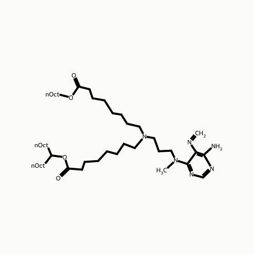 C=Nc1c(N)ncnc1N(C)CCCN(CCCCCCCC(=O)OCCCCCCCC)CCCCCCCC(=O)OC(CCCCCCCC)CCCCCCCC